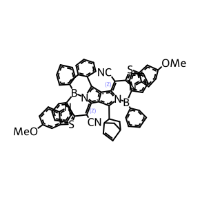 COc1ccc2nc(/C(C#N)=c3/c4c(C5CC6C=CC5C6)n(B(c5ccccc5)c5ccccc5)/c(=C(/C#N)c5nc6ccc(OC)cc6s5)c4c(-c4ccccc4C)n3B(c3ccccc3)c3ccccc3)sc2c1